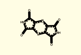 O=c1[nH]c(=O)c2nc3c(=O)[nH]c(=O)c3nc12